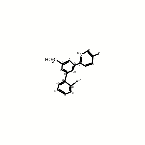 Cc1ccc(-c2cc(C(=O)O)cc(-c3ccccc3F)c2)nc1